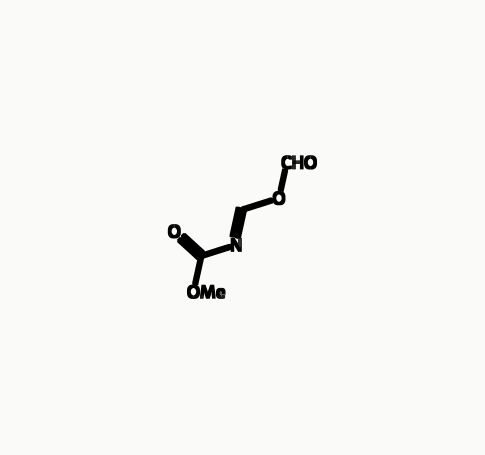 COC(=O)N=COC=O